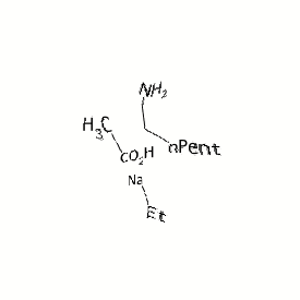 CC(=O)O.CCCCCCN.C[CH2][Na]